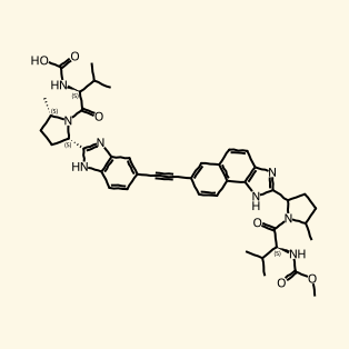 COC(=O)N[C@H](C(=O)N1C(C)CCC1c1nc2ccc3cc(C#Cc4ccc5[nH]c([C@@H]6CC[C@H](C)N6C(=O)[C@@H](NC(=O)O)C(C)C)nc5c4)ccc3c2[nH]1)C(C)C